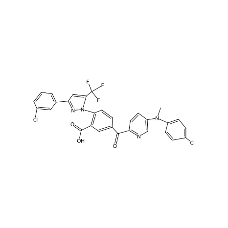 CN(c1ccc(Cl)cc1)c1ccc(C(=O)c2ccc(-n3nc(-c4cccc(Cl)c4)cc3C(F)(F)F)c(C(=O)O)c2)nc1